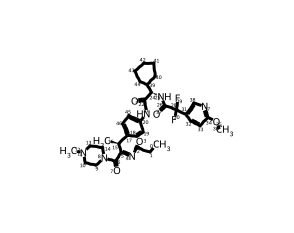 CCC(=O)/N=C(/C(=O)N1CCN(C)CC1)[C@@H](C)c1ccc(NC(=O)[C@@H](NC(=O)C(F)(F)c2ccc(OC)nc2)C2CCCCC2)cc1